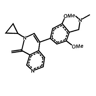 C=C1c2cnccc2C(c2cc(OC)c(CN(C)C)c(OC)c2)=CN1C1CC1